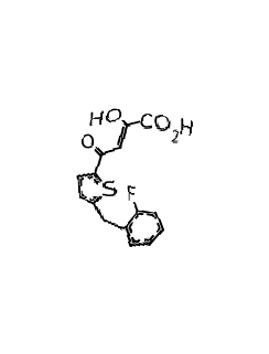 O=C(O)C(O)=CC(=O)c1ccc(Cc2ccccc2F)s1